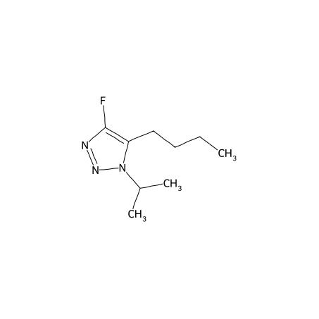 CCCCc1c(F)nnn1C(C)C